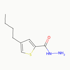 CCCCc1csc(C(=O)NN)c1